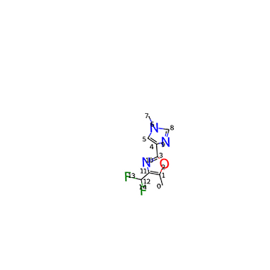 Cc1oc(-c2cn(C)cn2)nc1C(F)F